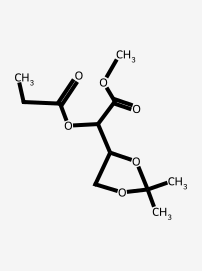 CCC(=O)OC(C(=O)OC)C1COC(C)(C)O1